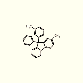 Cc1cccc(C2(c3ccccc3)c3ccccc3-c3ccc(C)cc32)c1